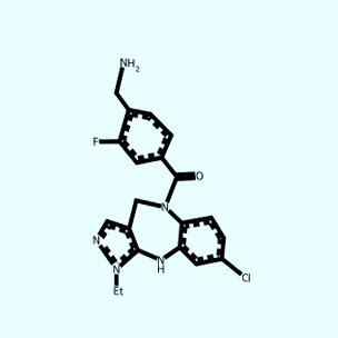 CCn1ncc2c1Nc1cc(Cl)ccc1N(C(=O)c1ccc(CN)c(F)c1)C2